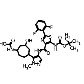 Cn1ncc(NC(=O)c2nc(-c3c(F)cccc3F)sc2NC(=O)OC(C)(C)C)c1C1CCC(NC(=O)O)CC(O)C1